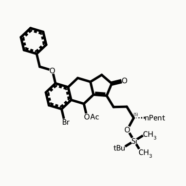 CCCCC[C@@H](CCC1=C2C(CC1=O)Cc1c(OCc3ccccc3)ccc(Br)c1C2OC(C)=O)O[Si](C)(C)C(C)(C)C